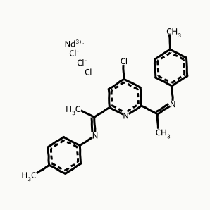 CC(=Nc1ccc(C)cc1)c1cc(Cl)cc(C(C)=Nc2ccc(C)cc2)n1.[Cl-].[Cl-].[Cl-].[Nd+3]